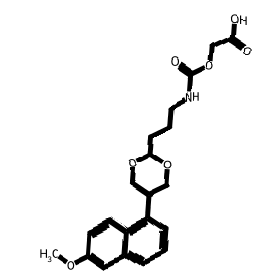 COc1ccc2c(C3COC(CCCNC(=O)OCC(=O)O)OC3)cccc2c1